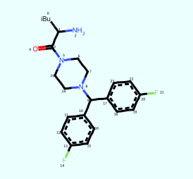 CCC(C)C(N)C(=O)N1CCN(C(c2ccc(F)cc2)c2ccc(F)cc2)CC1